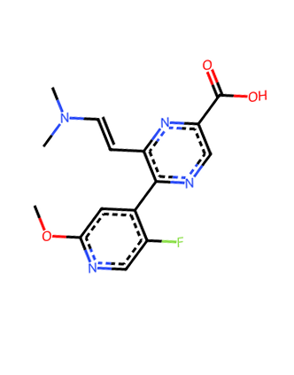 COc1cc(-c2ncc(C(=O)O)nc2C=CN(C)C)c(F)cn1